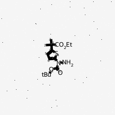 CCOC(=O)C(C)(C)c1ccc(N(N)C(=O)OC(C)(C)C)s1